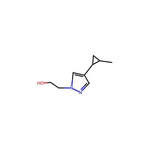 CC1CC1c1cnn(CCO)c1